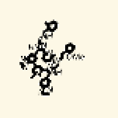 COc1ccccc1CCNCc1nc(-c2cc(-c3cc(-c4[nH]c(CNCc5ccccc5C)nc4-c4cccc(C)n4)cc4nccnc34)cc(C)n2)c(-c2ccc3nccnc3c2)[nH]1